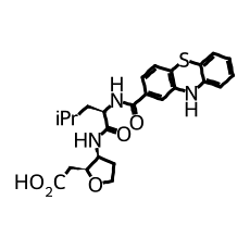 CC(C)C[C@@H](NC(=O)c1ccc2c(c1)Nc1ccccc1S2)C(=O)N[C@H]1CCO[C@H]1CC(=O)O